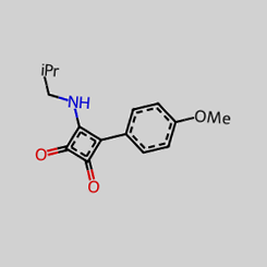 COc1ccc(-c2c(NCC(C)C)c(=O)c2=O)cc1